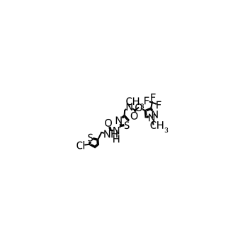 CN(Cc1csc(NC(=O)NCc2ccc(Cl)s2)n1)C(=O)Oc1cn(C)nc1C(F)(F)F